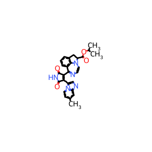 Cc1ccn2c(C3=C(C4=NC=CN5c6c(cccc64)CC5C(=O)OC(C)C)C(=O)NC3=O)cnc2c1